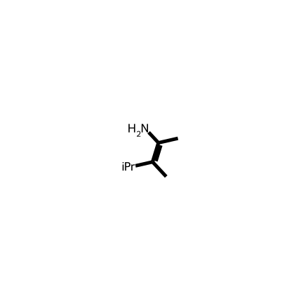 CC(N)=C(C)C(C)C